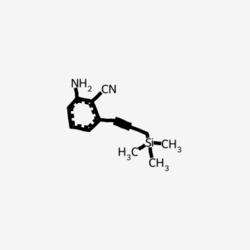 C[Si](C)(C)CC#Cc1cccc(N)c1C#N